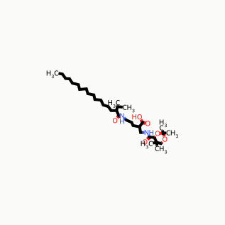 CCCCCCCCCCCCCCCC(C(=O)NCCCC(CNC(=O)C1OC(C)(C)OCC1(C)C)C(=O)O)C(C)C